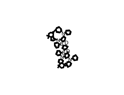 CC1(C)CCC(C)(C)c2cc(N3c4ccccc4B4c5cc6c(cc5Oc5cc(N(c7ccccc7)c7ccccc7)cc3c54)Oc3cc4cc5c3B6c3ccccc3N5c3ccc5c(c3)C(C)(CCC5(C)C)CC3C=CC=C(C=C3)N4c3ccccc3)ccc21